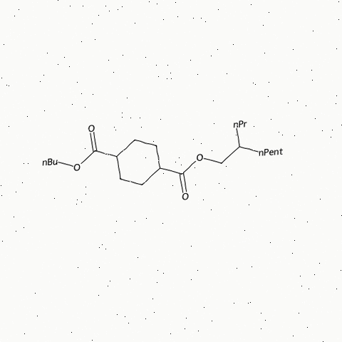 CCCCCC(CCC)COC(=O)C1CCC(C(=O)OCCCC)CC1